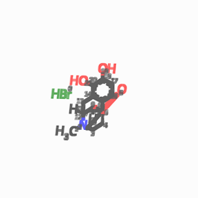 Br.CN1CC[C@]23CC(=O)CC[C@H]2[C@H]1Cc1c3ccc(O)c1O